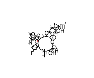 CCCNC[C@]1(O)[C@H](C)O[C@@H](OC2C(C)C(=O)OC(CC)C(C)(O)C(O)C(C)NCC(C)CC(C)(O)C(O[C@@H]3O[C@H](C)C[C@H](N(C)C)[C@H]3Oc3ccc(F)cc3)C2C)C[C@@]1(C)OC